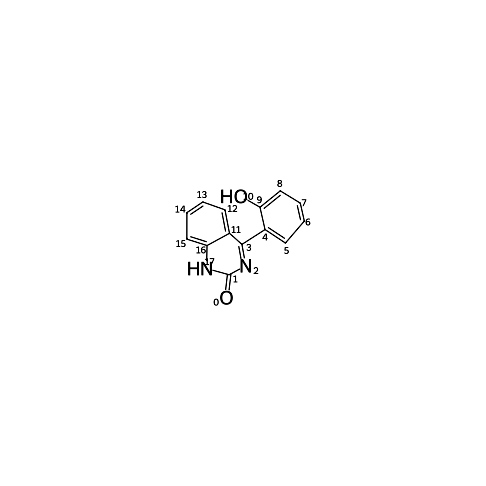 O=c1nc(-c2ccccc2O)c2ccccc2[nH]1